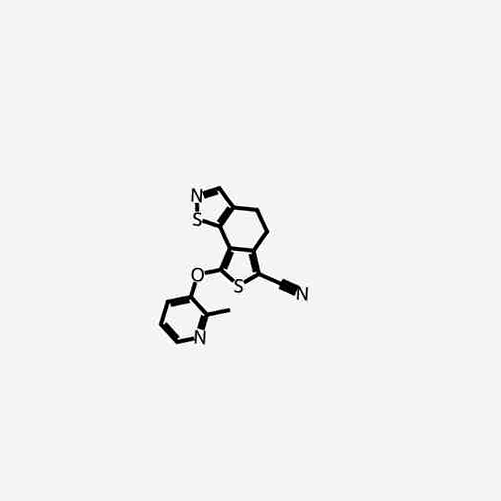 Cc1ncccc1Oc1sc(C#N)c2c1-c1sncc1CC2